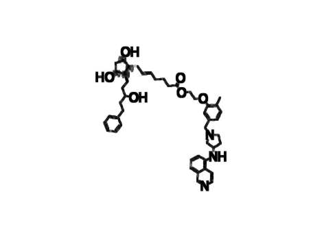 Cc1ccc(CN2CCC(Nc3cccc4cnccc34)C2)cc1OCCOC(=O)CCCC=CC[C@@H]1[C@@H](CCC(O)CCc2ccccc2)[C@H](O)C[C@@H]1O